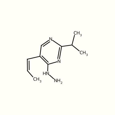 C/C=C\c1cnc(C(C)C)nc1NN